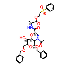 CC(=O)NC1[C@@H](OCc2ccccc2)OC(COCc2ccccc2)[C@@H](O)[C@@H]1O[C@H](C)C(=O)N[C@@H](C)C(=O)OCCS(=O)(=O)c1ccccc1